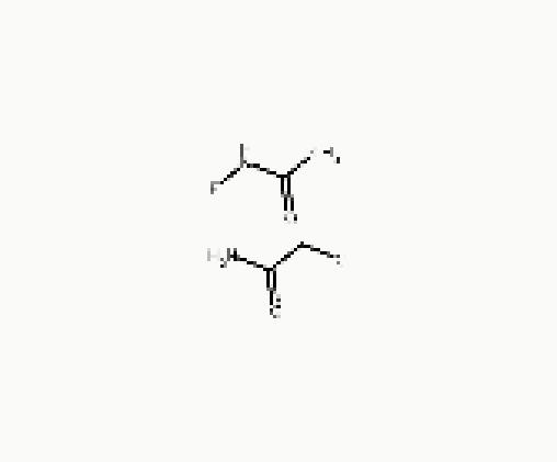 CC(=O)NF.NC(=O)CCl